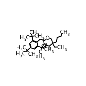 CCCCC1(CC)COP(Cc2c(C(C)(C)C)cc(C(C)(C)C)cc2C(C)(C)C)OC1